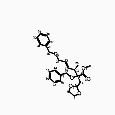 COC(=O)[C@](CC1OCCO1)(OCc1ccccc1)[C@H](C)/C=C/COCc1ccccc1